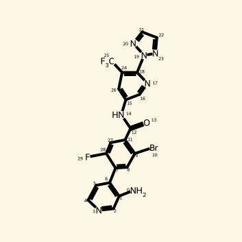 Nc1cnccc1-c1cc(Br)c(C(=O)Nc2cnc(-n3nccn3)c(C(F)(F)F)c2)cc1F